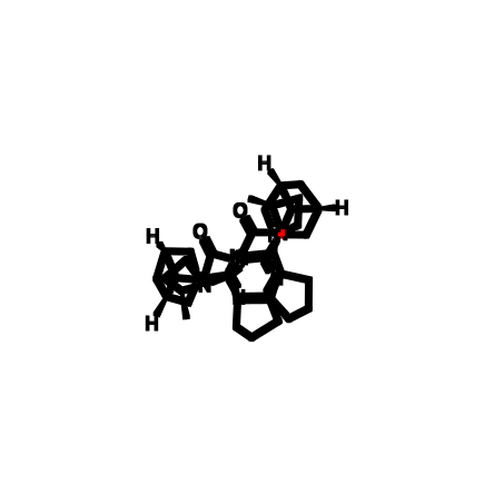 C[C@H]1CCN1c1nc2c(c(N3C[C@H]4C[C@@H](C3)C4CC(=O)OC(=O)CC3[C@@H]4C[C@H]3CN(c3nc(N5CC[C@@H]5C)nc5c3CCC5)C4)n1)CCC2